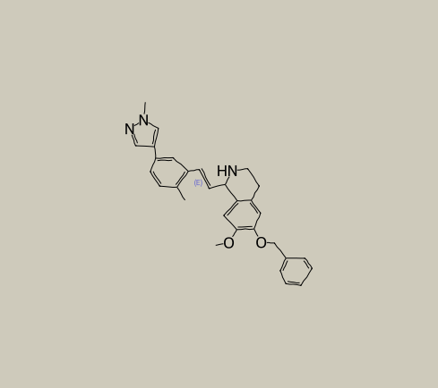 COc1cc2c(cc1OCc1ccccc1)CCNC2/C=C/c1cc(-c2cnn(C)c2)ccc1C